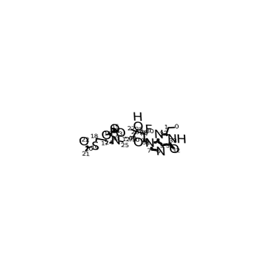 CCc1nc2c(ncn2[C@@H]2O[C@H](COP(=O)(OCCSC(C)=O)N(C)C)C(C)(O)[C@@H]2F)c(=O)[nH]1